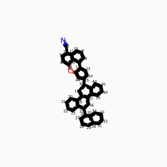 N#Cc1ccc2c3c(cccc13)-c1ccc(-c3cc4c5ccccc5c(-c5cccc6ccccc56)cc4c4ccccc34)cc1O2